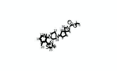 CCOC(=O)N1CC2(CCC(N3CCN(c4nccc(C)c4-c4nncs4)CC3)C2)C1